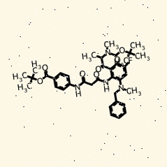 CC(C(=O)c1cc(F)cc(N(C)Cc2ccccc2)c1NC(=O)CC(=O)Nc1ccc(C(=O)OC(C)(C)C)cc1)N(C)C(=O)OC(C)(C)C